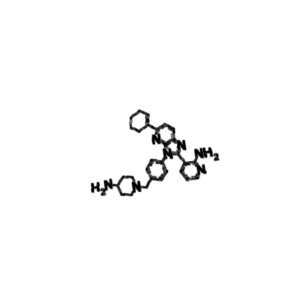 Nc1ncccc1-c1nc2ccc(C3=CCCCC3)nc2n1-c1ccc(CN2CCC(N)CC2)cc1